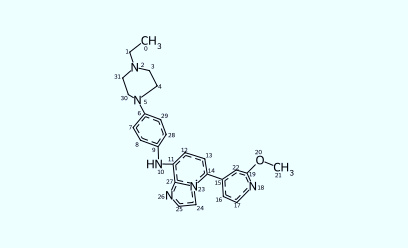 CCN1CCN(c2ccc(Nc3ccc(-c4ccnc(OC)c4)n4ccnc34)cc2)CC1